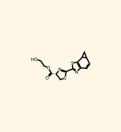 O=C(OCCO)[C@H]1CSC(c2nc3c(s2)C2CC2C=C3)=N1